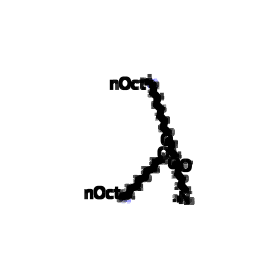 CCCCCCCC/C=C\CCCCCCCCOCC(COC(=O)CCCCN(C)C)OCCCCCCCC/C=C\CCCCCCCC